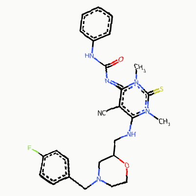 Cn1c(NCC2CN(Cc3ccc(F)cc3)CCO2)c(C#N)c(=NC(=O)Nc2ccccc2)n(C)c1=S